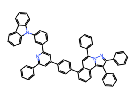 c1ccc(-c2cc(-c3ccc(-c4cccc5c4cc(-c4ccccc4)n4nc(-c6ccccc6)c(-c6ccccc6)c54)cc3)cc(-c3cccc(-n4c5ccccc5c5ccccc54)c3)n2)cc1